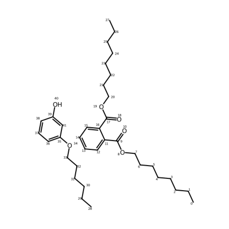 CCCCCCCCOC(=O)c1ccccc1C(=O)OCCCCCCCC.CCCCCCOc1cccc(O)c1